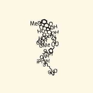 COc1cccc2c1C(=O)c1c(O)c3c(c(O)c1C2=O)C[C@@](O)(C(=O)CN1CCN(C(=O)OCc2ccc(NC(=O)C(C)NC(=O)C(NC(=O)CCCCCN4C(=O)C=CC4=O)C(C)C)cc2)CC1)C[C@@H]3O[C@H]1C[C@H]2[C@H](O[C@@H]3[C@@H](OC)OCCN32)[C@H](C)O1